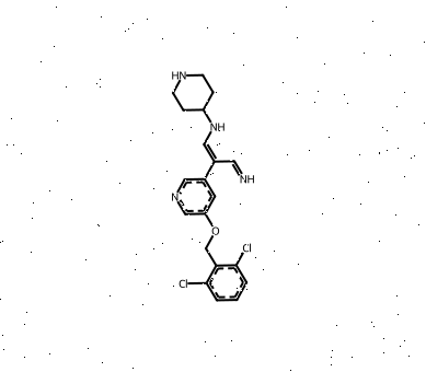 N=C/C(=C\NC1CCNCC1)c1cncc(OCc2c(Cl)cccc2Cl)c1